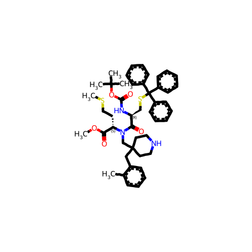 COC(=O)[C@H](CCSC)N(CC1(Cc2ccccc2C)CCNCC1)C(=O)[C@H](CSC(c1ccccc1)(c1ccccc1)c1ccccc1)NC(=O)OC(C)(C)C